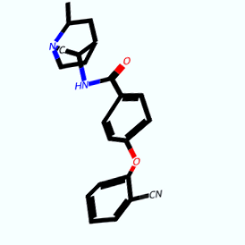 CC1CC2CCN1CC2NC(=O)c1ccc(Oc2ccccc2C#N)cc1